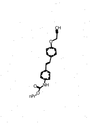 C#CCOc1ccc(/C=C/c2ccc(NC(=O)OCCC)cc2)cc1